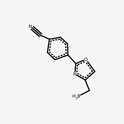 BCc1coc(-c2ccc(C#N)cc2)n1